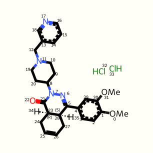 COc1ccc(C2=NN(C3CCN(Cc4cccnc4)CC3)C(=O)[C@@H]3CC=CC[C@H]23)cc1OC.Cl.Cl